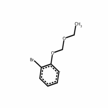 CCOCOc1[c]cccc1Br